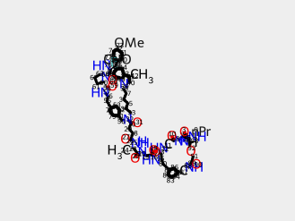 CCCNC(=O)N1[C@@H]2CCN1C(=O)CNC(=O)[C@@H](NC(=O)CNC(=O)[C@H](C)NC(=O)CCC(=O)N(CCCCCCn1cc(C)c3cc(F)ccc31)Cc1ccc(CCNC(=O)[C@@H]3CCCN3C(=O)[C@H](Cc3ccc(OC)cc3)NC=O)cc1)Cc1cccc(c1)CNC(=O)CO2